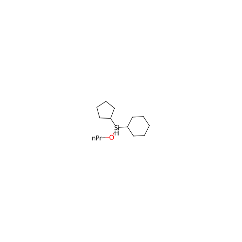 CCCO[SiH](C1CCCCC1)C1CCCC1